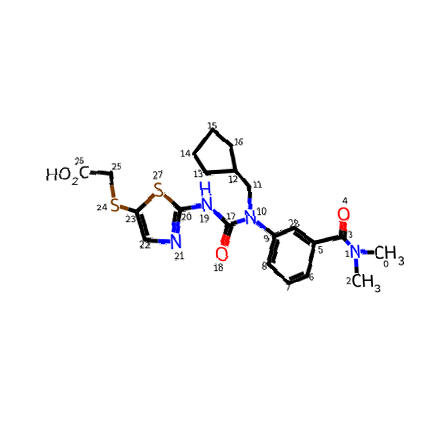 CN(C)C(=O)c1cccc(N(CC2CCCC2)C(=O)Nc2ncc(SCC(=O)O)s2)c1